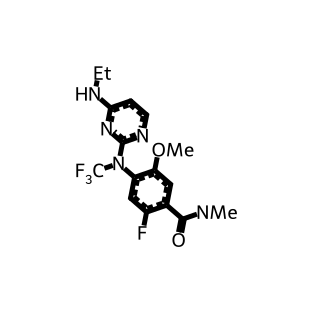 CCNc1ccnc(N(c2cc(F)c(C(=O)NC)cc2OC)C(F)(F)F)n1